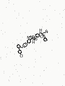 CN(C)CC[C@H](CSc1ccccc1)Nc1ccc(S(=O)(=O)Nc2ncnc3cc(N4CCN(Cc5ccccc5-c5ccc(Cl)cc5)CC4)ccc23)cc1C(F)(F)F